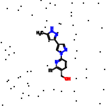 CCc1nc(-n2cc(-c3cc(C)[nH]n3)cn2)ccc1CO